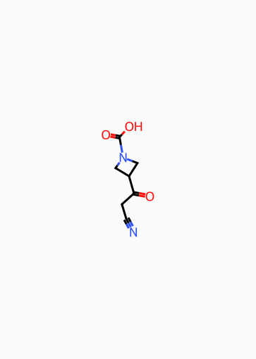 N#CCC(=O)C1CN(C(=O)O)C1